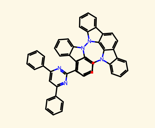 c1ccc(-c2cc(-c3ccccc3)nc(-c3ccc(-n4c5ccccc5c5ccc6c7ccccc7n(-n7c8ccccc8c8ccccc87)c6c54)cc3)n2)cc1